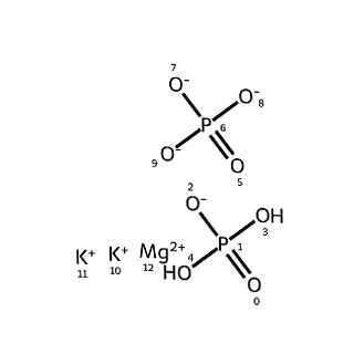 O=P([O-])(O)O.O=P([O-])([O-])[O-].[K+].[K+].[Mg+2]